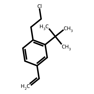 C=Cc1ccc(CCCl)c(C(C)(C)C)c1